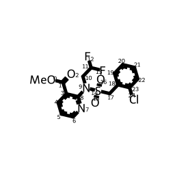 COC(=O)c1cccnc1N(CC(F)F)S(=O)(=O)Cc1ccccc1Cl